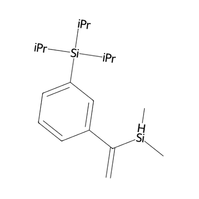 C=C(c1cccc([Si](C(C)C)(C(C)C)C(C)C)c1)[SiH](C)C